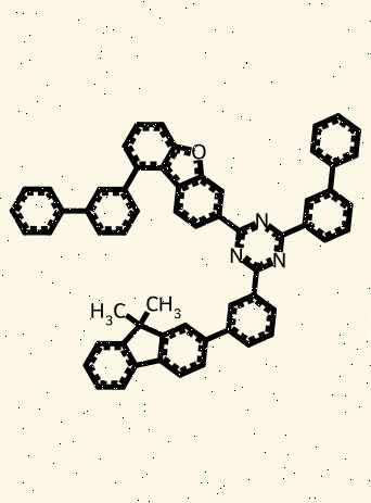 CC1(C)c2ccccc2-c2ccc(-c3cccc(-c4nc(-c5cccc(-c6ccccc6)c5)nc(-c5ccc6c(c5)oc5cccc(-c7cccc(-c8ccccc8)c7)c56)n4)c3)cc21